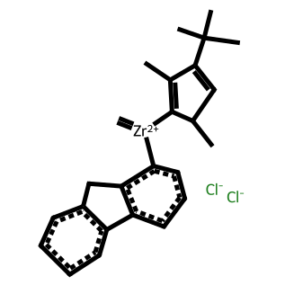 [CH2]=[Zr+2]([C]1=C(C)C(C(C)(C)C)=CC1C)[c]1cccc2c1Cc1ccccc1-2.[Cl-].[Cl-]